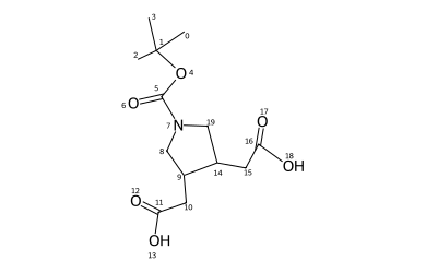 CC(C)(C)OC(=O)N1CC(CC(=O)O)C(CC(=O)O)C1